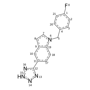 Fc1ccc(Cn2ccc3cc(-c4nn[nH]n4)ccc32)cc1